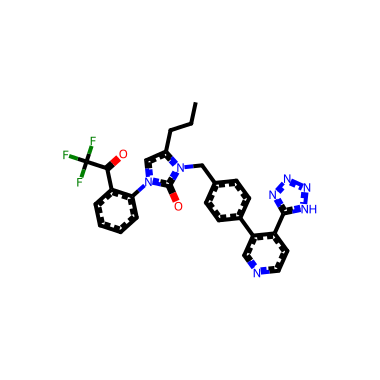 CCCc1cn(-c2ccccc2C(=O)C(F)(F)F)c(=O)n1Cc1ccc(-c2cnccc2-c2nnn[nH]2)cc1